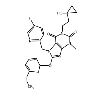 Cn1c(=O)n(CCC2(O)CC2)c(=O)c2c1nc(OC1C=CC=C(OC(F)(F)F)C1)n2Cc1ccc(F)cn1